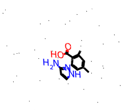 Cc1ccc(C(=O)O)c(C)c1.Nc1cc[nH]n1